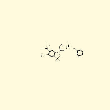 COC(=O)c1cc2c(cc1Br)C(C)(C)CN2C1CCN(C(=O)OCc2ccccc2)C1